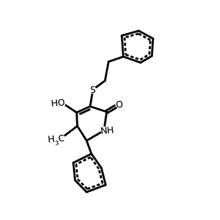 CC1C(O)=C(SCCc2ccccc2)C(=O)NC1c1ccccc1